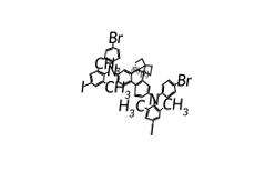 Cc1cc(I)cc(C)c1N(c1ccc(Br)cc1)c1ccc2c(c1)[C@@]13CCC14CC[C@]43c1cc(N(c3ccc(Br)cc3)c3c(C)cc(I)cc3C)ccc1-2